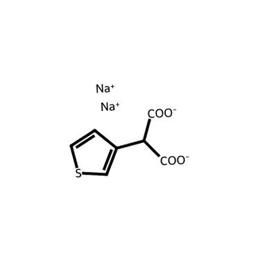 O=C([O-])C(C(=O)[O-])c1ccsc1.[Na+].[Na+]